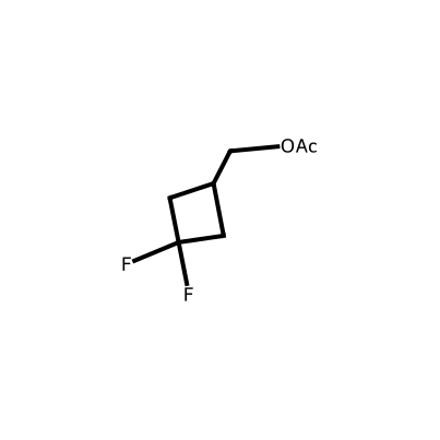 CC(=O)OCC1CC(F)(F)C1